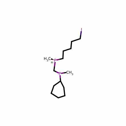 CP(C[P@@](C)CCCCCI)C1CCCCC1